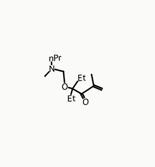 C=C(C)C(=O)C(CC)(CC)OCN(C)CCC